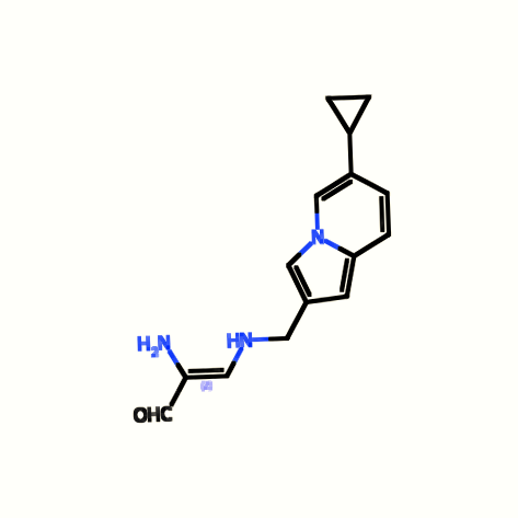 N/C(C=O)=C\NCc1cc2ccc(C3CC3)cn2c1